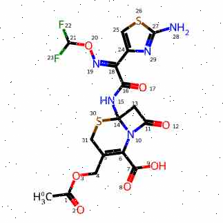 CC(=O)OCC1=C(C(=O)O)N2C(=O)CC2(NC(=O)C(=NOC(F)F)c2csc(N)n2)SC1